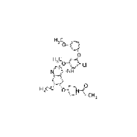 C=CC(=O)N1CCC(Oc2cc3c(Nc4cc(Cl)c(Oc5cccc(OC)c5)cc4OC)ncnc3cc2OC)CC1